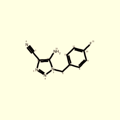 N#Cc1nnn(Cc2ccc(F)cc2)c1N